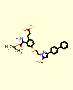 Cc1cc(-c2ccc(-c3ccccc3)cc2)nn1CCOc1ccc(CCC(=O)O)c(C(N)C(=O)OC(C)C)c1